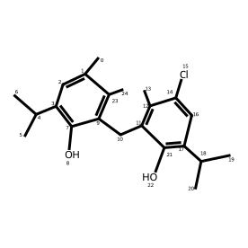 Cc1cc(C(C)C)c(O)c(Cc2c(C)c(Cl)cc(C(C)C)c2O)c1C